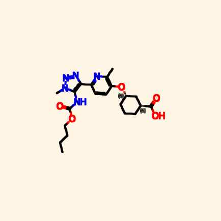 CCCCOC(=O)Nc1c(-c2ccc(O[C@H]3CCC[C@H](C(=O)O)C3)c(C)n2)nnn1C